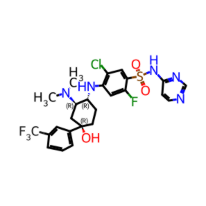 CN(C)[C@@H]1C[C@@](O)(c2cccc(C(F)(F)F)c2)CC[C@H]1Nc1cc(F)c(S(=O)(=O)Nc2ccncn2)cc1Cl